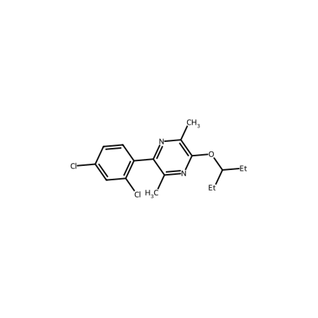 CCC(CC)Oc1nc(C)c(-c2ccc(Cl)cc2Cl)nc1C